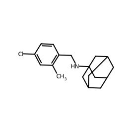 Cc1cc(Cl)ccc1CNC12CC3CC(CC(C3)C1)C2